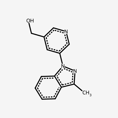 Cc1nn(-c2cncc(CO)c2)c2ccccc12